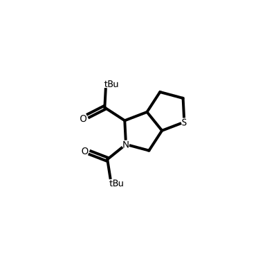 CC(C)(C)C(=O)C1C2CCSC2CN1C(=O)C(C)(C)C